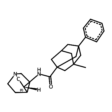 CC12CC3CC(C(=O)N[C@H]4CN5CCC4CC5)(C1)CC(c1ccccc1)(C3)C2